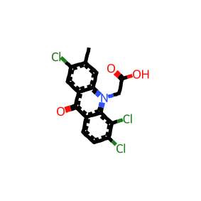 Cc1cc2c(cc1Cl)c(=O)c1ccc(Cl)c(Cl)c1n2CC(=O)O